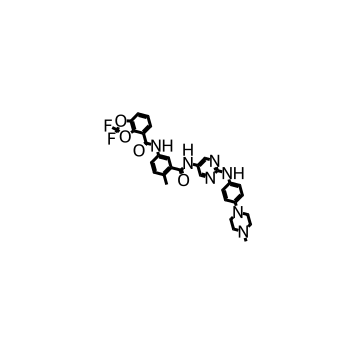 Cc1ccc(NC(=O)c2cccc3c2OC(F)(F)O3)cc1C(=O)Nc1cnc(Nc2ccc(N3CCN(C)CC3)cc2)nc1